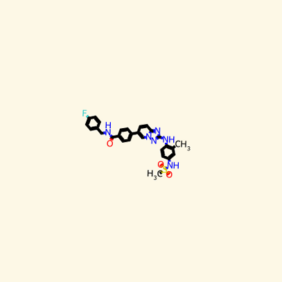 Cc1cc(NS(C)(=O)=O)ccc1Nc1nc2ccc(-c3ccc(C(=O)NCc4ccc(F)cc4)cc3)cn2n1